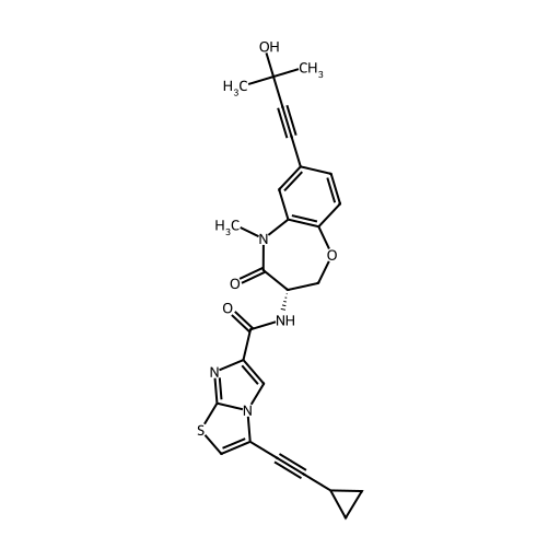 CN1C(=O)[C@@H](NC(=O)c2cn3c(C#CC4CC4)csc3n2)COc2ccc(C#CC(C)(C)O)cc21